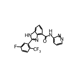 O=C(Nc1cccnn1)c1cccc2[nH]c(-c3cc(F)ccc3C(F)(F)F)nc12